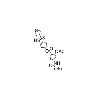 CCCCC(=O)Nc1ccc(C(=O)Oc2ccc(P(=S)(S)N3CCOCC3)cc2)c(OC(C)=O)c1